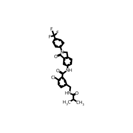 CC(C)C(=O)NCc1ccc(Cl)c(C(=O)Nc2ccc3c(c2)C(=O)N(c2ccc(C(F)(F)F)cc2)C3)c1